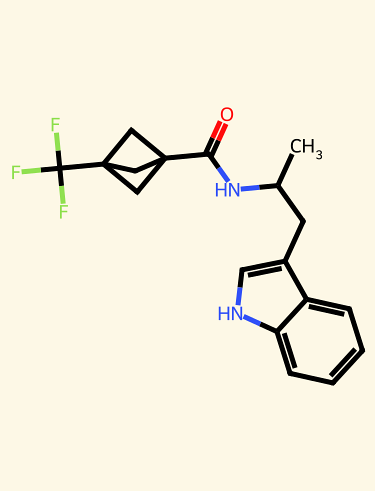 CC(Cc1c[nH]c2ccccc12)NC(=O)C12CC(C(F)(F)F)(C1)C2